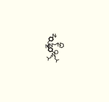 CC(C)CCN(CCC(C)C)C(=O)c1ccc2nc(Cc3ccc(N(C)C)cc3)n(CCCN3CCCCC3)c2c1